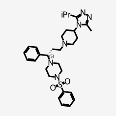 Cc1nnc(C(C)C)n1C1CCN(CC[C@@H](c2ccccc2)N2CCN(S(=O)(=O)c3ccccc3)CC2)CC1